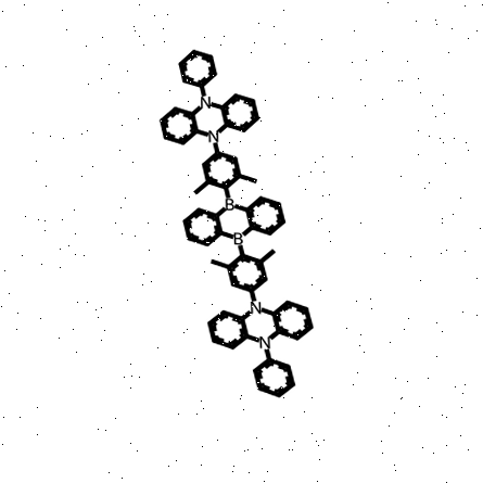 Cc1cc(N2c3ccccc3N(c3ccccc3)c3ccccc32)cc(C)c1B1c2ccccc2B(c2c(C)cc(N3c4ccccc4N(c4ccccc4)c4ccccc43)cc2C)c2ccccc21